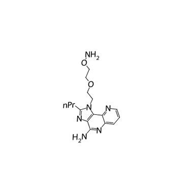 CCCc1nc2c(N)nc3cccnc3c2n1CCOCCON